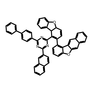 C1=CC2Oc3ccccc3C2C(c2nc(-c3ccc(-c4ccccc4)cc3)nc(-c3ccc4ccccc4c3)n2)=C1c1cccc2oc3cc4ccccc4cc3c12